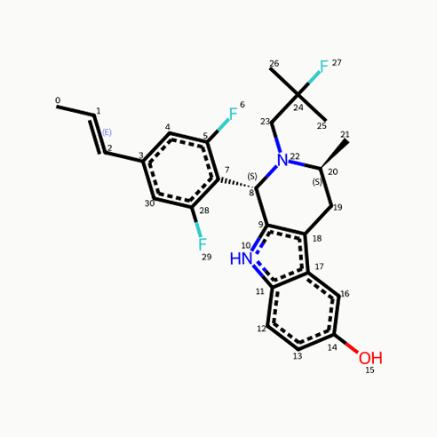 C/C=C/c1cc(F)c([C@H]2c3[nH]c4ccc(O)cc4c3C[C@H](C)N2CC(C)(C)F)c(F)c1